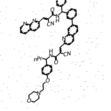 CCCC(NC(=O)/C(C#N)=C/c1ccc2ccc(-c3cccc(C(NC(=O)/C(C#N)=C/c4ccc5cccnc5n4)c4ccccc4)c3)cc2n1)c1ccc(OCCN2CCOCC2)cc1